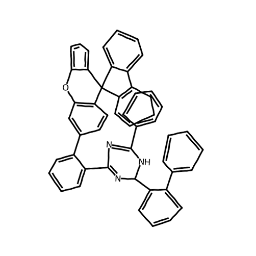 C1=CC2=C(CC1)c1ccccc1C21c2ccccc2Oc2cc(-c3ccccc3C3=NC(c4ccccc4-c4ccccc4)NC(c4ccccc4)=N3)ccc21